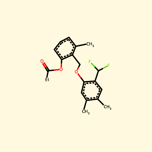 CCC(=O)Oc1cccc(C)c1COc1cc(C)c(C)cc1C(F)F